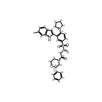 Cc1ccc2cc(-c3cc(S(=O)(=O)N(C)CC(=O)N4CCO[C@@H](c5ccccc5)C4)ccc3N3CCCC3)[nH]c2c1